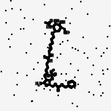 B[C@@H]1O[C@H](COC(=O)OCc2ccccc2)C(OP(=O)(O)OC)[C@@H]1CCCCCNC(=S)NCCCCCCO[C@@H]1C[C@H](CO)[C@H](O)[C@H](O)[C@H]1NC(C)=O